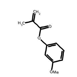 C=C(C)C(=O)Oc1cccc(OC)c1